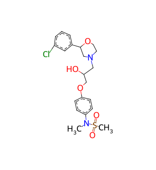 CN(c1ccc(OCC(O)CN2CCOC(c3cccc(Cl)c3)C2)cc1)S(C)(=O)=O